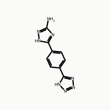 Nc1n[nH]c(-c2ccc(-c3nnn[nH]3)cc2)n1